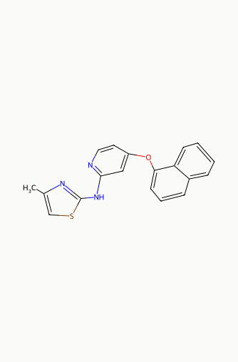 Cc1csc(Nc2cc(Oc3cccc4ccccc34)ccn2)n1